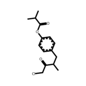 CC(C)C(=O)Oc1ccc(CC(C)C(=O)CCl)cc1